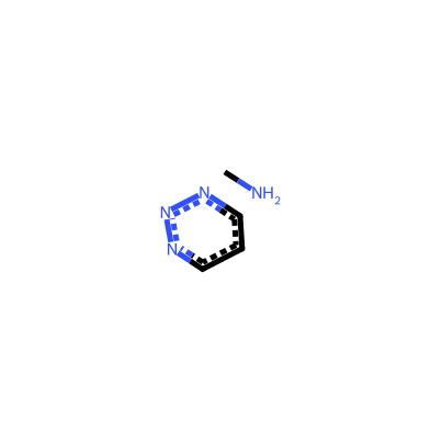 CN.c1cnnnc1